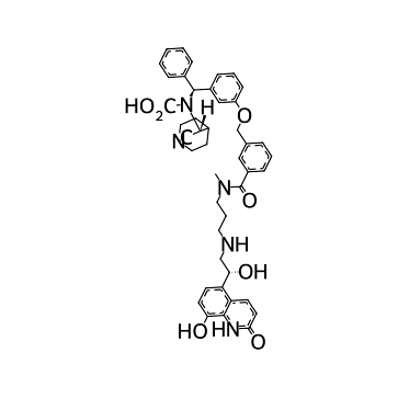 CN(CCCNC[C@H](O)c1ccc(O)c2[nH]c(=O)ccc12)C(=O)c1cccc(COc2cccc([C@H](c3ccccc3)N(C(=O)O)[C@H]3CN4CCC3CC4)c2)c1